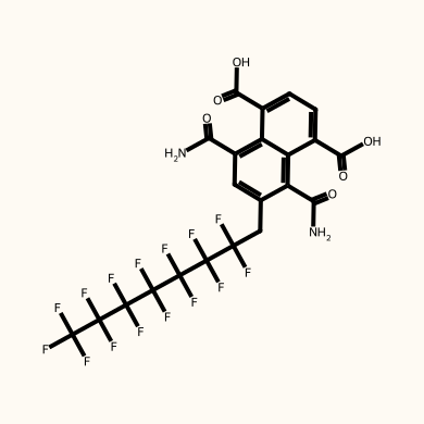 NC(=O)c1cc(CC(F)(F)C(F)(F)C(F)(F)C(F)(F)C(F)(F)C(F)(F)C(F)(F)F)c(C(N)=O)c2c(C(=O)O)ccc(C(=O)O)c12